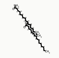 C=C.CCCCCCCCCCCCCCCC(N)=O.CCCCCCCCCCCCCCCC(N)=O